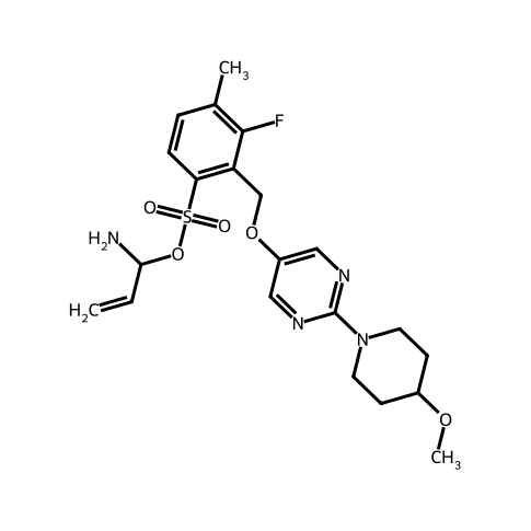 C=CC(N)OS(=O)(=O)c1ccc(C)c(F)c1COc1cnc(N2CCC(OC)CC2)nc1